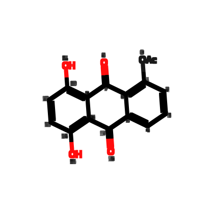 CC(=O)Oc1cccc2c1C(=O)c1c(O)ccc(O)c1C2=O